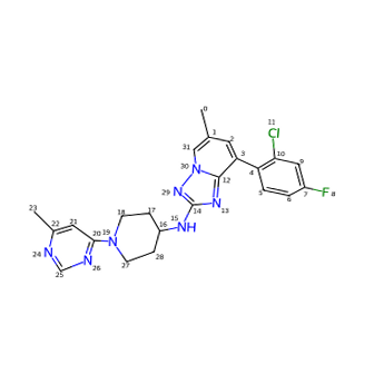 Cc1cc(-c2ccc(F)cc2Cl)c2nc(NC3CCN(c4cc(C)ncn4)CC3)nn2c1